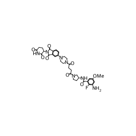 COc1cc(N)c(F)c(C(=O)N[C@H]2CCN(C(=O)CCC(=O)N3CCN(c4ccc5c(c4)C(=O)N(C4CCC(=O)NC4=O)C5=O)CC3)C2)c1